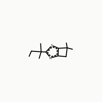 CCC(C)(C)c1nc2c(s1)C(C)(C)C2